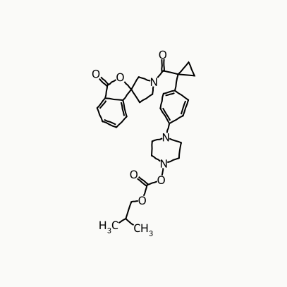 CC(C)COC(=O)ON1CCN(c2ccc(C3(C(=O)N4CCC5(C4)OC(=O)c4ccccc45)CC3)cc2)CC1